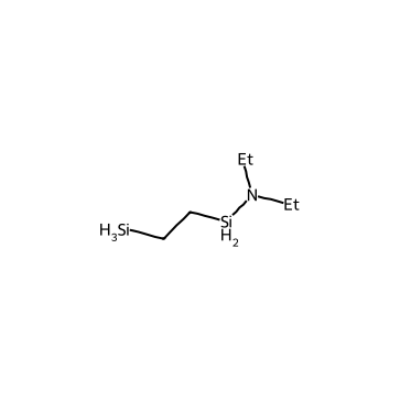 CCN(CC)[SiH2]CC[SiH3]